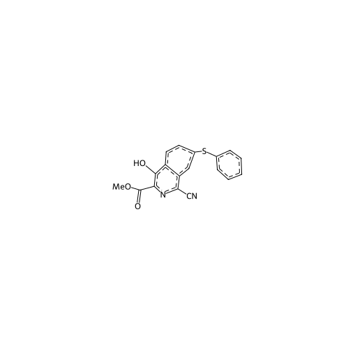 COC(=O)c1nc(C#N)c2cc(Sc3ccccc3)ccc2c1O